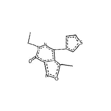 CCn1nc(-c2ccsc2)c2c(C)onc2c1=O